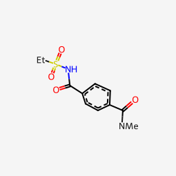 CCS(=O)(=O)NC(=O)c1ccc(C(=O)NC)cc1